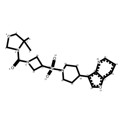 CC1(C)COCN1C(=O)N1CC(S(=O)(=O)N2CCC(c3coc4cccnc34)CC2)C1